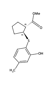 COC(=O)[C@H]1CCC[C@@H]1Sc1ccc(C)cc1O